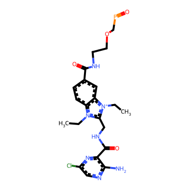 CCn1c(CNC(=O)c2nc(Cl)cnc2N)[n+](CC)c2cc(C(=O)NCCOCP=O)ccc21